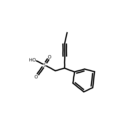 CC#CC(CS(=O)(=O)O)c1ccccc1